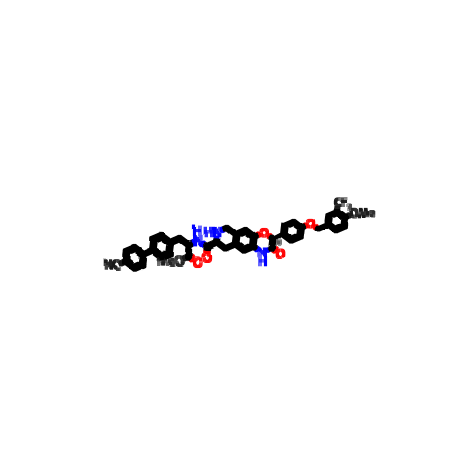 COC(=O)C(Cc1ccc(-c2ccc(C#N)cc2)cc1)NC(=O)C1Cc2cc3c(cc2CN1)O[C@@H](c1ccc(OCc2ccc(OC)c(C(F)(F)F)c2)cc1)C(=O)N3